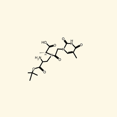 Cc1cn(CC(=O)N(CC(N)C(=O)OC(C)(C)C)[C@H](C)C(=O)O)c(=O)[nH]c1=O